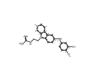 N=C(N)NCCn1c2ccc(Nc3ccc(Cl)c(Cl)c3)cc2c2ccncc21